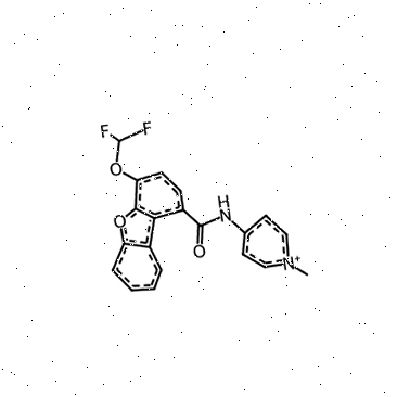 C[n+]1ccc(NC(=O)c2ccc(OC(F)F)c3oc4ccccc4c23)cc1